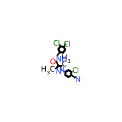 Cc1nn(-c2ccc(C#N)c(Cl)c2)c(C)c1C(=O)NCc1ccc(Cl)c(Cl)c1